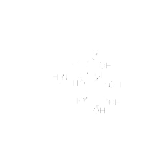 Nc1ccc(C(=O)O)cc1.O[C@H]1[C@H](O)[C@@H](O)[C@H](O)[C@@H](O)[C@H]1O